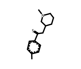 Cc1ccc(C(=S)CC2CCCN(C)C2)cc1